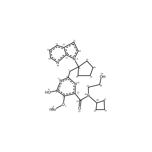 CCCCOc1c(O)nc(CC2(n3ccc4cccnc43)CCCC2)nc1C(=O)N(CCO)C1CCC1